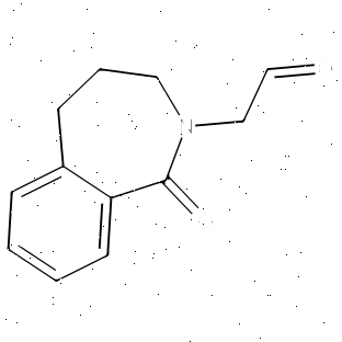 O=CCN1CCCc2ccccc2C1=O